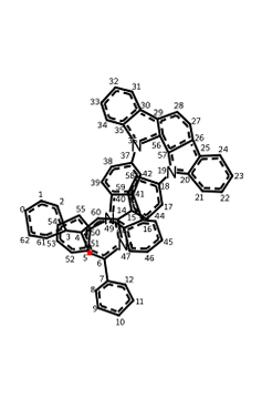 c1ccc(-c2cc(-c3ccccc3)nc(-c3ccc(-n4c5ccccc5c5ccc6c7ccccc7n(-c7ccc8c(c7)c7ccccc7n8-c7ccccc7)c6c54)cc3)c2)cc1